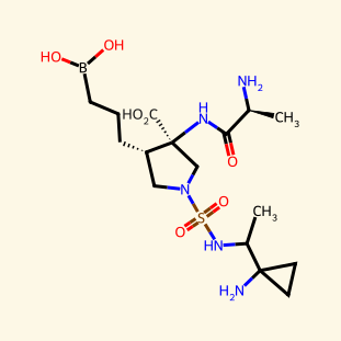 CC(NS(=O)(=O)N1C[C@H](CCCB(O)O)[C@](NC(=O)[C@H](C)N)(C(=O)O)C1)C1(N)CC1